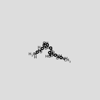 CCNc1ccc(C(=O)Nc2ccc(NC(=O)c3c(Oc4cccc(Oc5cccc(C(=O)O)c5C(=O)Nc5ccc(C(=O)Nc6ccc(NC)cc6)cc5)c4)cccc3C(=O)O)cc2)cc1